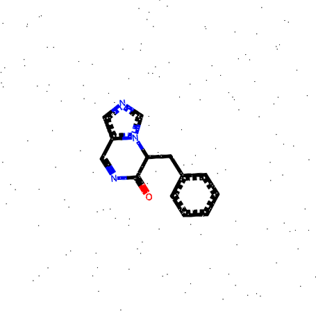 O=C1N=Cc2cncn2C1Cc1ccccc1